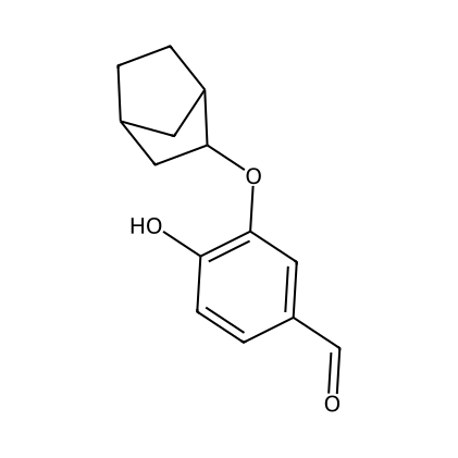 O=Cc1ccc(O)c(OC2CC3CCC2C3)c1